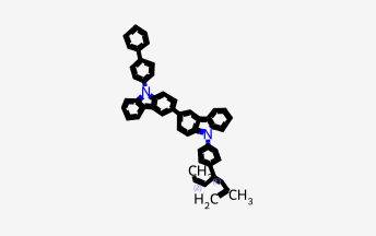 C=C(C)/C=C(\C=C/C)c1ccc(-n2c3ccccc3c3cc(-c4ccc5c(c4)c4ccccc4n5-c4ccc(-c5ccccc5)cc4)ccc32)cc1